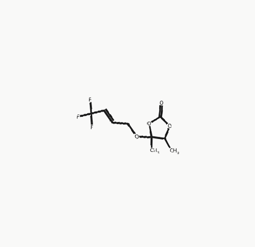 CC1OC(=O)OC1(C)OCC=CC(F)(F)F